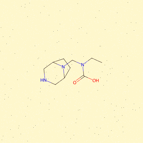 CCN(CN1C2CCC1CNC2)C(=O)O